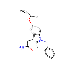 CCOC(=O)C(CC)Oc1ccc2c(c1)c(CC(N)=O)c(C)n2Cc1ccccc1